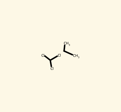 C[CH]C.ClC(Cl)Cl